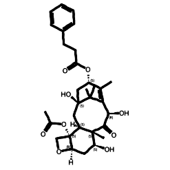 CC(=O)O[C@@]12CO[C@@H]1C[C@H](O)[C@@]1(C)C(=O)[C@H](O)C3=C(C)[C@@H](OC(=O)CCc4ccccc4)C[C@@](O)(C[C@H]21)C3(C)C